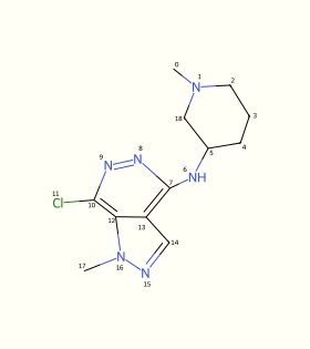 CN1CCCC(Nc2nnc(Cl)c3c2cnn3C)C1